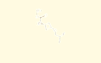 CC(C)(C)OC(=O)N[C@H]1C[C@@H](OCC(F)F)C1